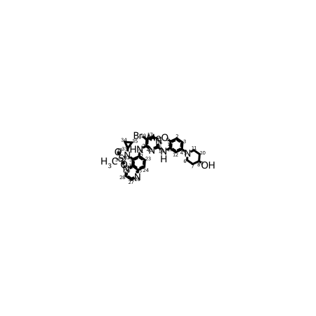 COc1ccc(N2CCC(O)CC2)cc1Nc1ncc(Br)c(Nc2ccc3nccnc3c2N(C2CC2)S(C)(=O)=O)n1